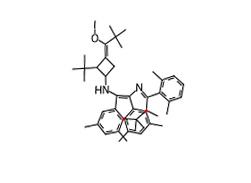 Cc1cc(C)cc(C2=C(/NC3C/C(=C(/OI)C(C)(C)C)C3C(C)(C)C)c3cc(C)cc(C)c3C(C)(C)C(C)/C(c3c(C)cccc3C)=N\2)c1